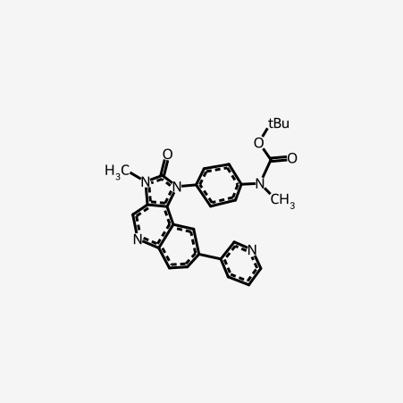 CN(C(=O)OC(C)(C)C)c1ccc(-n2c(=O)n(C)c3cnc4ccc(-c5cccnc5)cc4c32)cc1